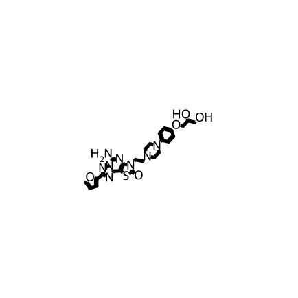 Nc1nc2c(sc(=O)n2CCN2CCN(c3ccc(OCC(O)CO)cc3)CC2)c2nc(-c3ccco3)nn12